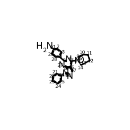 Nc1ccc(-c2nc(N3CC4CCC(C3)O4)c3cnn(-c4ccccc4)c3n2)cc1